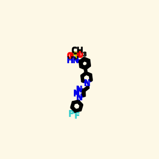 CS(=O)(=O)Nc1cccc(C2CCN(Cc3cn(C4CCC(F)(F)CC4)nn3)CC2)c1